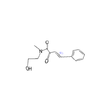 CN(CCO)C(=O)C(=O)/C=C/c1ccccc1